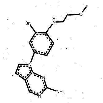 COCCNc1ccc(-n2ccc3cnc(N)nc32)cc1Br